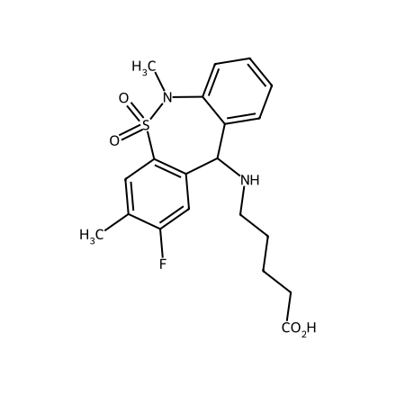 Cc1cc2c(cc1F)C(NCCCCC(=O)O)c1ccccc1N(C)S2(=O)=O